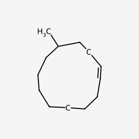 CC1CCC=CCCCCCCC1